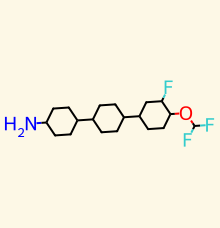 NC1CCC(C2CCC(C3CCC(OC(F)F)C(F)C3)CC2)CC1